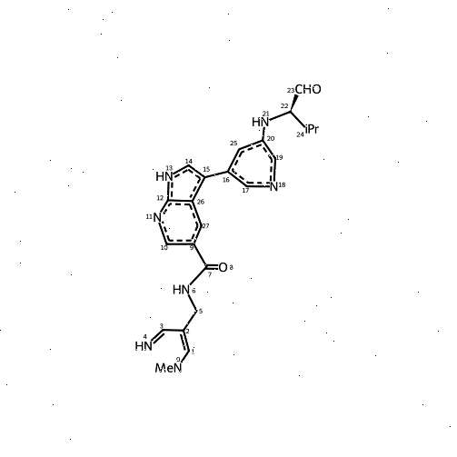 CN/C=C(\C=N)CNC(=O)c1cnc2[nH]cc(-c3cncc(N[C@@H](C=O)C(C)C)c3)c2c1